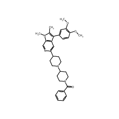 COc1ccc(-c2c(C)n(C)c3cnc(C4CCN(C5CCN(C(=O)c6ccccc6)CC5)CC4)cc23)cc1OC